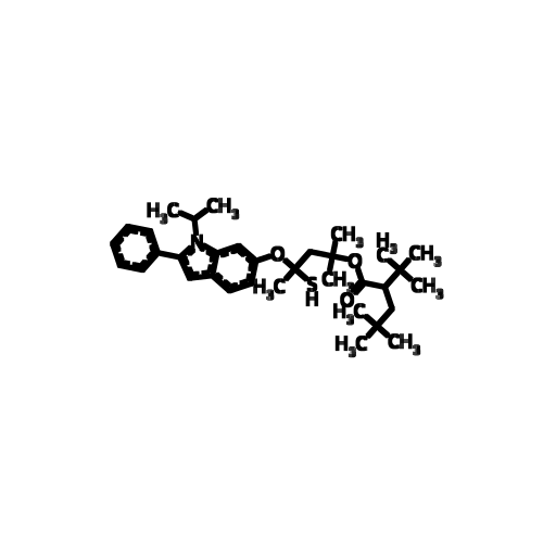 CC(C)n1c(-c2ccccc2)cc2ccc(OC(C)(S)CC(C)(C)OC(=O)C(CC(C)(C)C)C(C)(C)C)cc21